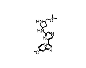 COc1ccn2c(-c3cncc(N[C@H]4CN[C@H](COC(C)C)C4)n3)cnc2c1